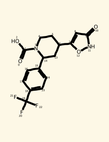 O=C(O)N1CCC(c2cc(=O)[nH]o2)CC1c1ccc(C(F)(F)F)cc1